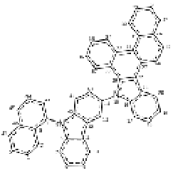 c1ccc2c(-n3c4ccccc4c4cc(-n5c6ccccc6c6c7ccc8ccccc8c7c7ccccc7c65)ccc43)cccc2c1